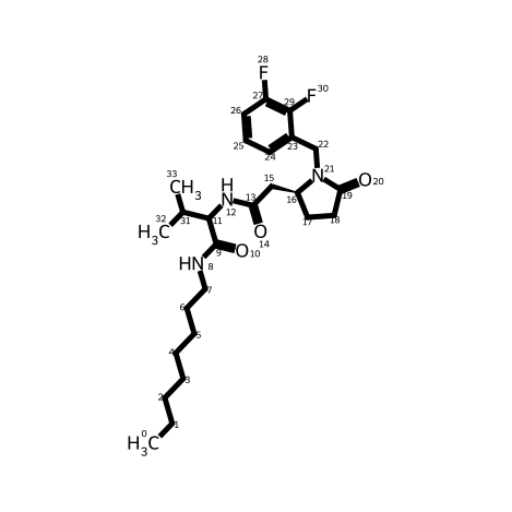 CCCCCCCCNC(=O)C(NC(=O)C[C@@H]1CCC(=O)N1Cc1cccc(F)c1F)C(C)C